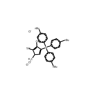 CCCCc1ccc([Si](C2=CC(C)[C]([Ti+3])=C2C)(c2ccc(CCCC)cc2)c2ccc(CCCC)cc2)cc1.[Cl-].[Cl-].[Cl-]